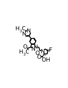 CC(=O)c1nn(CC(=O)N2C[C@H](F)C[C@H]2C(=O)O)c2ccc(-c3cnc(C)nc3)cc12